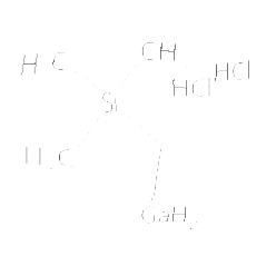 C[Si](C)(C)[CH2][GaH2].Cl.Cl